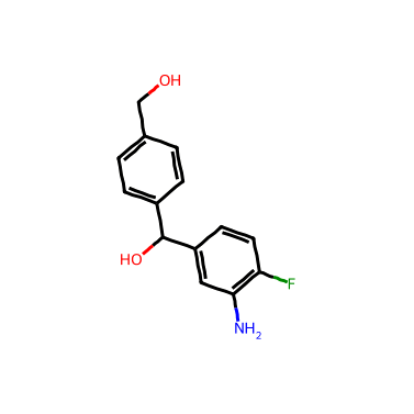 Nc1cc(C(O)c2ccc(CO)cc2)ccc1F